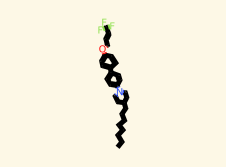 CCCCCCCCC1CCN(c2ccc(-c3ccc(OCC=CC(F)(F)F)cc3)cc2)CC1